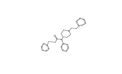 O=C(CCc1ccccc1)N(c1ccccc1)C1CCN(CCc2ccccc2)CC1